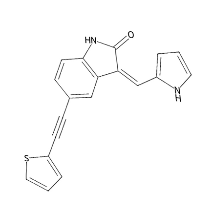 O=C1Nc2ccc(C#Cc3cccs3)cc2C1=Cc1ccc[nH]1